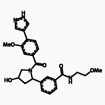 COCCNC(=O)c1cccc(C2CC(O)CN2C(=O)c2ccc(-c3cn[nH]c3)c(OC)c2)c1